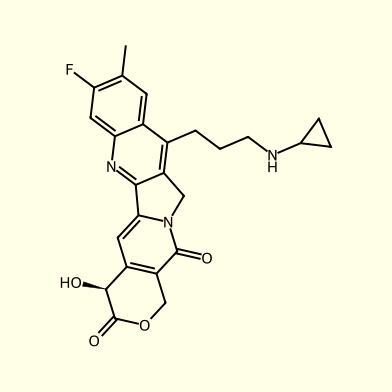 Cc1cc2c(CCCNC3CC3)c3c(nc2cc1F)-c1cc2c(c(=O)n1C3)COC(=O)[C@H]2O